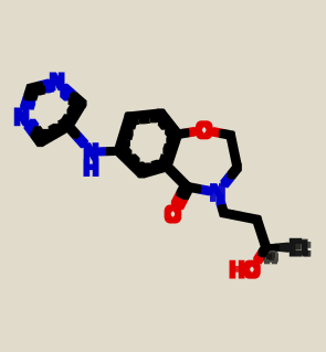 CC[C@@H](O)CCN1CCOc2ccc(Nc3cncnc3)cc2C1=O